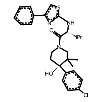 CC(C)[C@@H](Nc1nc(-c2ccccc2)cs1)C(=O)N1CC[C@](O)(c2ccc(Cl)cc2)C(C)(C)C1